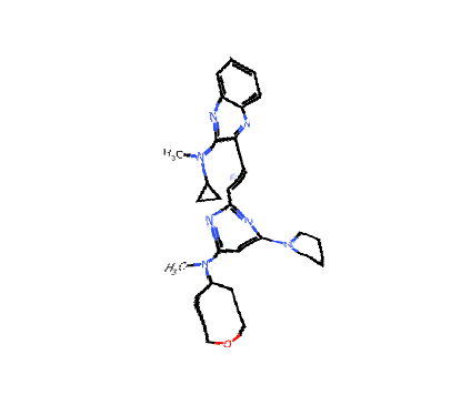 CN(c1cc(N2CCCC2)nc(/C=C/c2nc3ccccc3nc2N(C)C2CC2)n1)C1CCOCC1